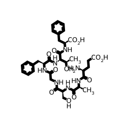 C[C@H](NC(=O)[C@@H](N)CCC(=O)O)C(=O)N[C@@H](CO)C(=O)NCC(=O)N[C@@H](Cc1ccccc1)C(=O)N[C@H](C(=O)N[C@@H](Cc1ccccc1)C(=O)O)[C@@H](C)O